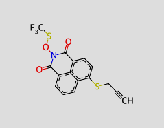 C#CCSc1ccc2c3c(cccc13)C(=O)N(OSC(F)(F)F)C2=O